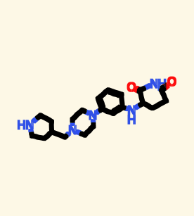 O=C1CCC(Nc2cccc(N3CCN(CC4CCNCC4)CC3)c2)C(=O)N1